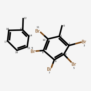 Cc1c(Br)c(Br)c(Br)c(Br)c1Br.Cc1ccccc1